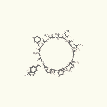 CCC(C)[C@@H]1NC(=O)[C@H](CC(C)C)N(C)C(=O)CCN(C)C(=O)[C@H](C(C)C)N(C)C(=O)C2(CCCC2)NC(=O)[C@@H]2CCCN2C(=O)[C@H](CCc2ccc(C(F)(F)F)c(F)c2)NC(=O)CN(C)C(=O)[C@H](CC2CCCCC2)N(C)C(=O)CN(C)C(=O)CN(C)C1=O